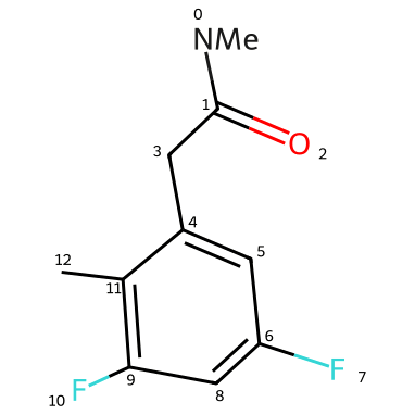 CNC(=O)Cc1cc(F)cc(F)c1C